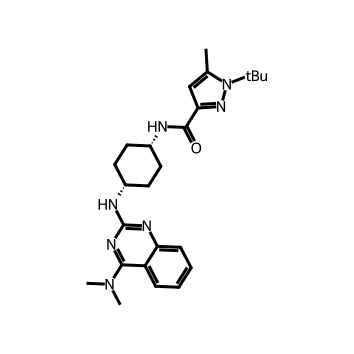 Cc1cc(C(=O)N[C@H]2CC[C@@H](Nc3nc(N(C)C)c4ccccc4n3)CC2)nn1C(C)(C)C